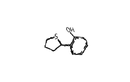 Oc1ccccc1C1CCCS1